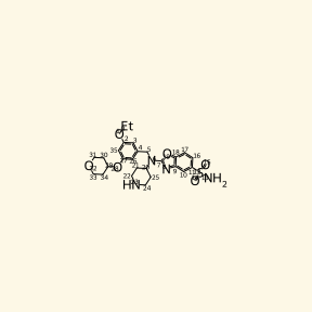 CCOc1cc(CN(c2nc3cc(S(N)(=O)=O)ccc3o2)C2CCNCC2)cc(OC2CCOCC2)c1